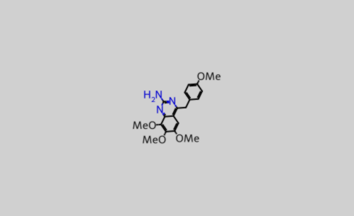 COc1ccc(Cc2nc(N)nc3c(OC)c(OC)c(OC)cc23)cc1